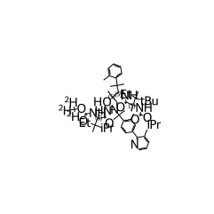 [2H]C([2H])([2H])OC(=O)N[C@H](C(=O)NN(C[C@](C)(O)[C@@H](NC(=O)[C@@](C)(NC(=O)OC(C)C)C(C)(CC)C(C)(C)C)C(C)(C)c1ccccc1C)C(C)(C)c1ccc(-c2ncccc2C)cc1C)C(C)(CC)C(C)C